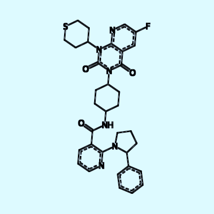 O=C(NC1CCC(n2c(=O)c3cc(F)cnc3n(C3CCSCC3)c2=O)CC1)c1cccnc1N1CCCC1c1ccccc1